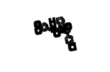 CC(CN1C(=O)c2ccccc2C1C(=O)NCc1ccc2c(c1)OCO2)c1ccc(Cl)cc1